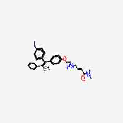 CCC(=C(c1ccc(I)cc1)c1ccc(OCCNCC=CC(=O)N(C)C)cc1)c1ccccc1